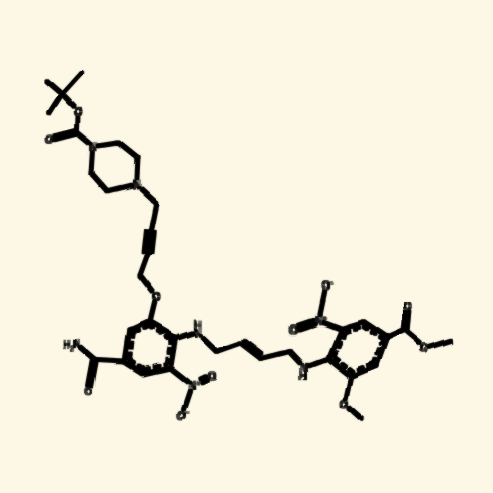 COC(=O)c1cc(OC)c(NC/C=C/CNc2c(OCC#CCN3CCN(C(=O)OC(C)(C)C)CC3)cc(C(N)=O)cc2[N+](=O)[O-])c([N+](=O)[O-])c1